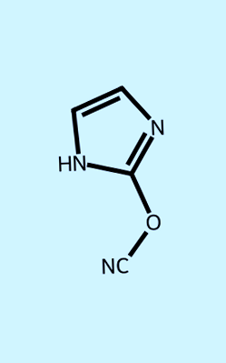 N#COc1ncc[nH]1